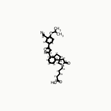 CC(C)Oc1ccc(-c2cc(-c3cccc4c3CCC43CC(=O)N(CCCCC(=O)O)C3)no2)cc1C#N